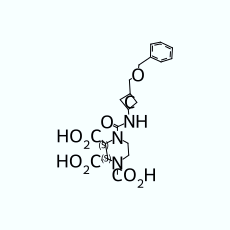 O=C(O)[C@@H]1[C@@H](C(=O)O)N(C(=O)NC23CC(COCc4ccccc4)(C2)C3)CCN1C(=O)O